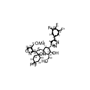 CO[C@@H]1[C@@H](n2cc(-c3cc(F)c(F)c(F)c3)nn2)[C@@H](O)[C@@H](CO)O[C@H]1S[C@H](c1nocc1C)C1(O)CCC(F)(F)CC1